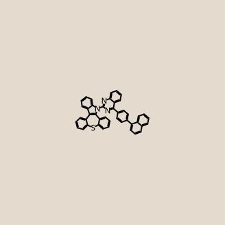 c1ccc2c(c1)Sc1ccccc1-c1c-2c2ccccc2n1-c1nc(-c2ccc(-c3cccc4ccccc34)cc2)c2ccccc2n1